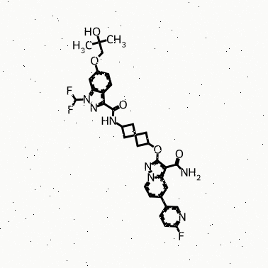 CC(C)(O)COc1ccc2c(C(=O)NC3CC4(C3)CC(Oc3nn5ccc(-c6ccc(F)nc6)cc5c3C(N)=O)C4)nn(C(F)F)c2c1